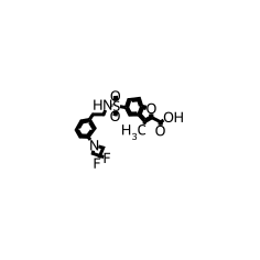 Cc1c(C(=O)O)oc2ccc(S(=O)(=O)NCCc3cccc(N4CC(F)(F)C4)c3)cc12